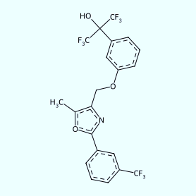 Cc1oc(-c2cccc(C(F)(F)F)c2)nc1COc1cccc(C(O)(C(F)(F)F)C(F)(F)F)c1